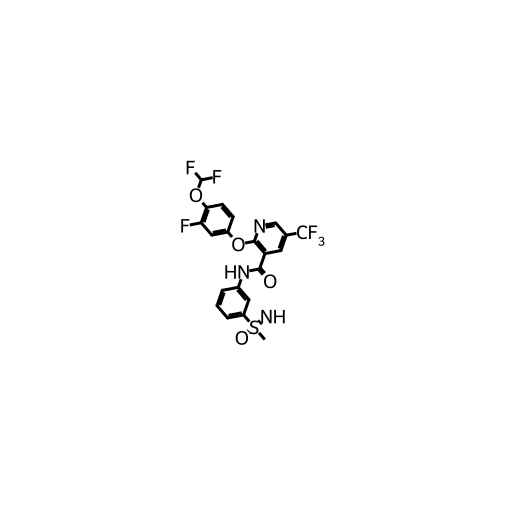 CS(=N)(=O)c1cccc(NC(=O)c2cc(C(F)(F)F)cnc2Oc2ccc(OC(F)F)c(F)c2)c1